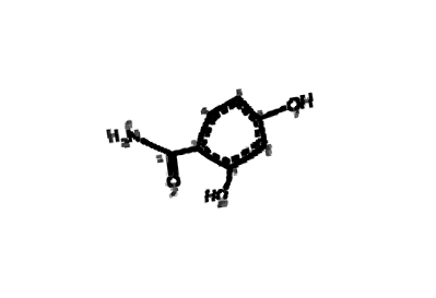 NC(=O)c1ccc(O)cc1O